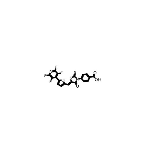 O=C(O)c1ccc(N2C(=O)C(=Cc3ccc(-c4c(F)c(F)nc(F)c4F)o3)SC2=S)cc1